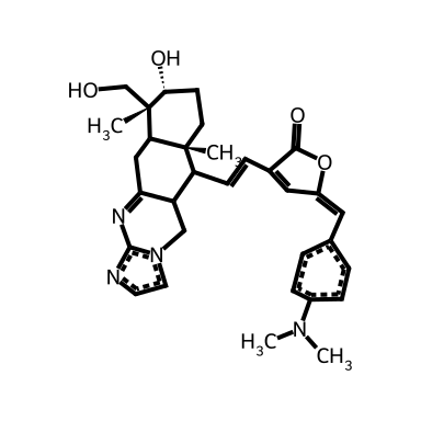 CN(C)c1ccc(/C=C2C=C(/C=C/C3C4Cn5ccnc5N=C4CC4[C@]3(C)CC[C@@H](O)[C@@]4(C)CO)C(=O)O\2)cc1